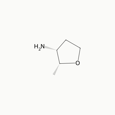 C[C@H]1OCC[C@H]1N